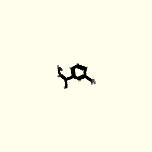 C/C(=N/C(C)(C)C)c1cccc(C(F)(F)F)c1